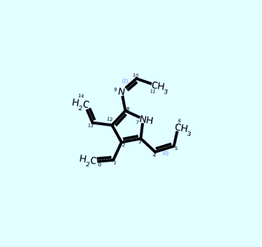 C=Cc1c(/C=C\C)[nH]c(/N=C\C)c1C=C